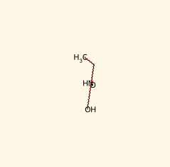 CCCCCCCC/C=C\CCCCCCCCCCCCNC(=O)CCCCCCCCCCCCCCCCCO